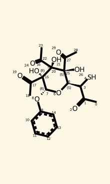 CC(=O)C(S)[C@H]1O[C@H](Oc2ccccc2)[C@@](O)(C(C)=O)[C@](O)(C(C)=O)[C@]1(O)C(C)=O